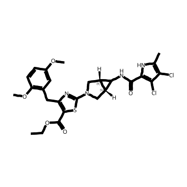 CCOC(=O)c1sc(N2C[C@@H]3C(NC(=O)c4[nH]c(C)c(Cl)c4Cl)[C@@H]3C2)nc1Cc1cc(OC)ccc1OC